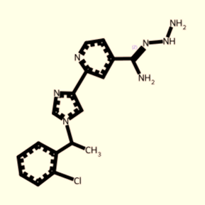 CC(c1ccccc1Cl)n1cnc(-c2cc(/C(N)=N/NN)ccn2)c1